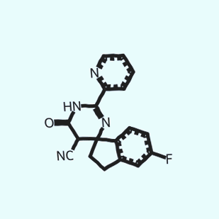 N#CC1C(=O)NC(c2ccccn2)=NC12CCc1cc(F)ccc12